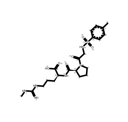 CNC(=N)NCCC[C@H](NC(=O)[C@@H]1CCCN1C(=O)CNS(=O)(=O)c1ccc(C)cc1)C(=O)O